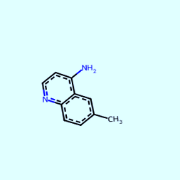 Cc1ccc2nccc(N)c2c1